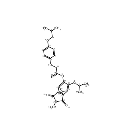 CC(C)COc1ccc(OCC(=O)Oc2c(OC(C)C)c3oc2c2c3C(=O)N(C)C2=O)cc1